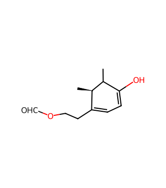 CC1C(O)=CC=C(CCOC=O)[C@H]1C